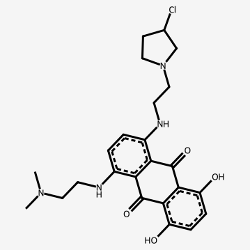 CN(C)CCNc1ccc(NCCN2CCC(Cl)C2)c2c1C(=O)c1c(O)ccc(O)c1C2=O